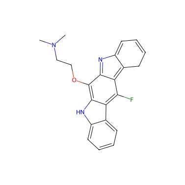 CN(C)CCOc1c2c(c(F)c3c1[nH]c1ccccc13)=C1CC=CC=C1N=2